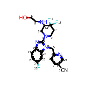 N#Cc1ccc(Cn2c(N3CCC(F)(F)C(NCCO)C3)nc3ccc(F)cc32)nc1